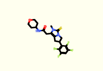 Cn1c(CC(=O)NC2CCOCC2)c2n(c1=S)CC(c1c(F)c(F)cc(F)c1F)C2